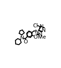 COc1cc(C(=O)N(C2CCCCC2)C2CCCC2)ccc1Cn1cnc2ncnc(Cl)c21